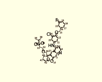 COc1cc2ncnc(Nc3ccc(OCc4cccc(F)c4)c(Cl)c3)c2cc1C1(COCCS(=O)(=O)C(C)C)CC=CO1